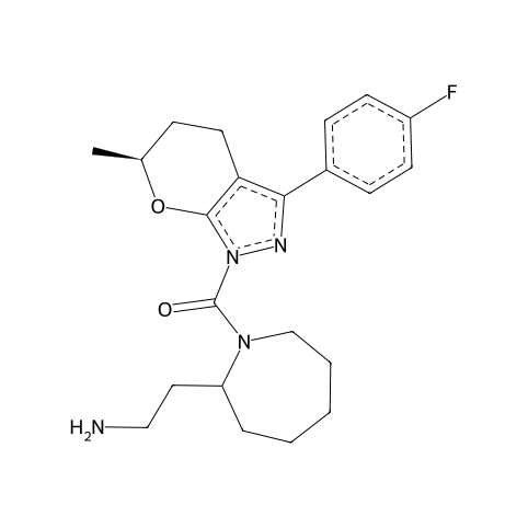 C[C@H]1CCc2c(-c3ccc(F)cc3)nn(C(=O)N3CCCCCC3CCN)c2O1